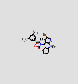 CCN(c1ncc(Br)cc1CN1C(=O)O[C@H](c2cc(C(F)(F)F)cc(C(F)(F)F)c2)[C@@H]1C)C1CCCCC1